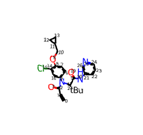 C#CC(=O)N(c1ccc(OCC2CC2)c(Cl)c1)C(C(=O)Nc1cccnc1)C(C)(C)C